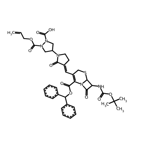 C=CCOC(=O)N1CC(N2CCC(=CC3=C(C(=O)OC(c4ccccc4)c4ccccc4)N4C(=O)C(NC(=O)OC(C)(C)C)C4SC3)C2=O)CN1C(=O)O